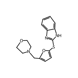 c1ccc2[nH]c(Sc3ccc(CN4CCOCC4)o3)nc2c1